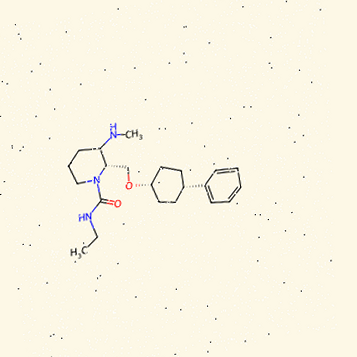 CCNC(=O)N1CCCC(NC)[C@@H]1CO[C@H]1CC[C@@H](c2ccccc2)CC1